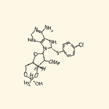 COC1C(N2C3=C(NC2Sc2ccc(Cl)cc2)C(N)=NCN3)OC2CO[PH](O)(S)O[C@H]21